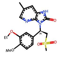 CCOc1cc([C@H](CS(C)(=O)=O)n2c(=O)[nH]c3cc(C)cnc32)ccc1OC